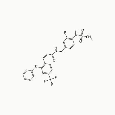 CS(=O)(=O)Nc1ccc(CNC(=O)/C=C\c2ccc(C(F)(F)F)nc2Sc2ccccc2)cc1F